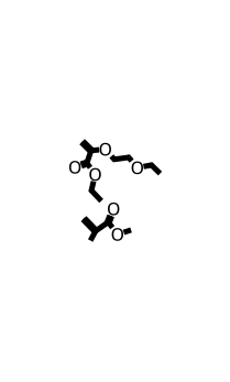 C=C(C)C(=O)OC.C=C(OCCOCC)C(=O)OCC